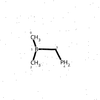 CB(C)CP